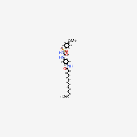 CCCCCCCCCCCCCCCCCCCCCC(=O)Nc1ccc(NC(=O)NS(=O)(=O)c2ccc(OC)cc2)cc1